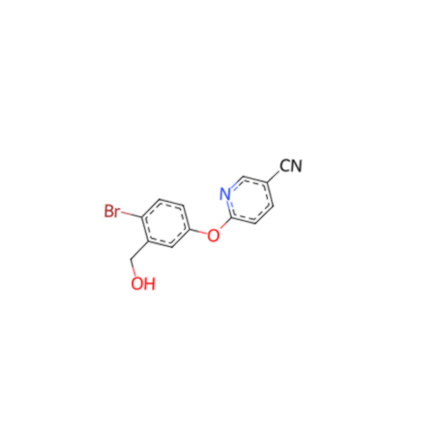 N#Cc1ccc(Oc2ccc(Br)c(CO)c2)nc1